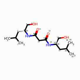 CC(C)C[C@H](CO)NC(=O)CC(=O)N[C@@H](CO)CC(C)C